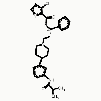 CC(C)C(=O)Nc1cccc(C2CCN(CC[C@H](NC(=O)c3sccc3Cl)c3ccccc3)CC2)c1